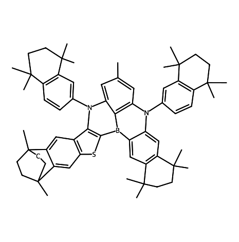 Cc1cc2c3c(c1)N(c1ccc4c(c1)C(C)(C)CCC4(C)C)c1c(sc4cc5c(cc14)C1(C)CCC5(C)CC1)B3c1cc3c(cc1N2c1ccc2c(c1)C(C)(C)CCC2(C)C)C(C)(C)CCC3(C)C